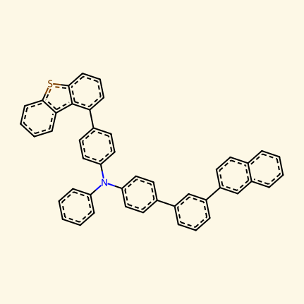 c1ccc(N(c2ccc(-c3cccc(-c4ccc5ccccc5c4)c3)cc2)c2ccc(-c3cccc4sc5ccccc5c34)cc2)cc1